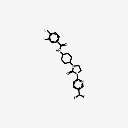 O=C(NC1CCC(N2CCN(c3ccc(C(F)F)cn3)C2=O)CC1)c1ccc(Cl)c(F)c1